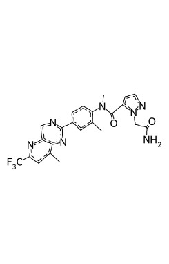 Cc1cc(-c2ncc3nc(C(F)(F)F)cc(C)c3n2)ccc1N(C)C(=O)c1ccnn1CC(N)=O